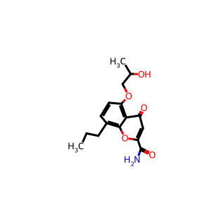 CCCc1ccc(OCC(C)O)c2c(=O)cc(C(N)=O)oc12